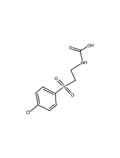 O=C(O)NCCS(=O)(=O)c1ccc(Cl)cc1